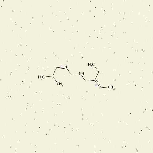 C/C=C(\CC)CNC/N=C\C(C)C